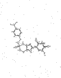 CC(C)c1ccc(COP2(=O)OCc3oc(-n4cc(F)c(=O)[nH]c4=O)cc3O2)cc1